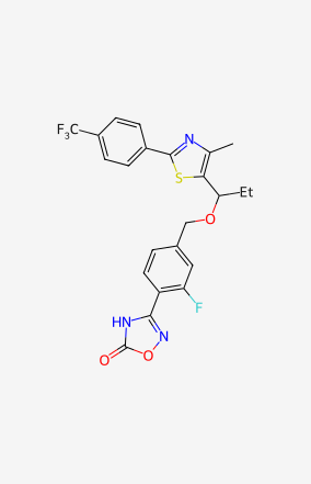 CCC(OCc1ccc(-c2noc(=O)[nH]2)c(F)c1)c1sc(-c2ccc(C(F)(F)F)cc2)nc1C